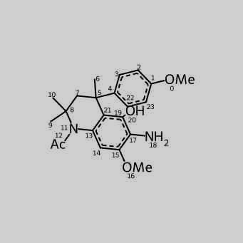 COc1ccc(C2(C)CC(C)(C)N(C(C)=O)c3cc(OC)c(N)c(O)c32)cc1